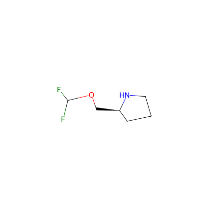 FC(F)OC[C@@H]1CCCN1